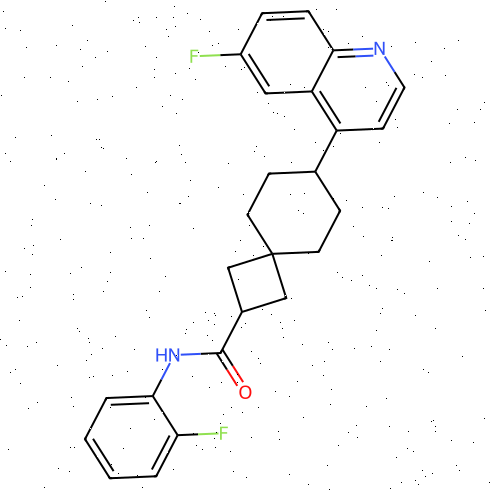 O=C(Nc1ccccc1F)C1CC2(CCC(c3ccnc4ccc(F)cc34)CC2)C1